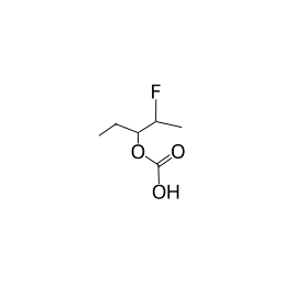 CCC(OC(=O)O)C(C)F